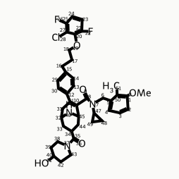 COc1cccc(CN(C(=O)C2=C(c3ccc(CCCOc4c(F)ccc(F)c4Cl)cc3)CC3CC(C(=O)N4CCC(O)CC4)CC2N3)C2CC2)c1C